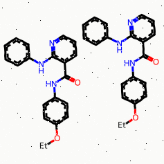 CCOc1ccc(NC(=O)c2cccnc2Nc2ccccc2)cc1.CCOc1ccc(NC(=O)c2cccnc2Nc2ccccc2)cc1